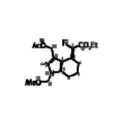 CCOC(=O)C(F)=C1CCCc2c1c(COC(C)=O)nn2COC